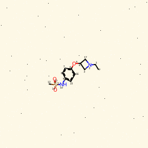 CCN1CC(Oc2ccc(NS(C)(=O)=O)cc2)C1